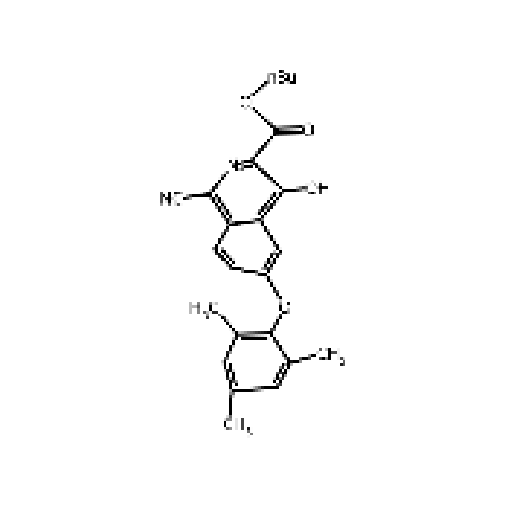 CCCCOC(=O)c1nc(C#N)c2ccc(Oc3c(C)cc(C)cc3C)cc2c1O